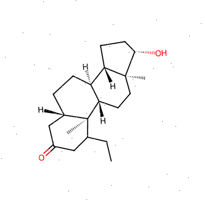 CCC1CC(=O)C[C@@H]2CC[C@H]3[C@@H]4CC[C@H](O)[C@@]4(C)CC[C@@H]3[C@@]12C